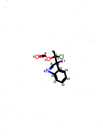 CC(Cl)(OC=O)C1(I)C=Nc2ccccc21